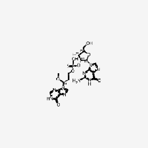 CO[C@@H](CCOP(O)(=S)O[C@@H]1[C@H](F)[C@@H](CO)O[C@H]1n1cnc2c(=O)[nH]c(N)nc21)n1cnc2c(=O)[nH]cnc21